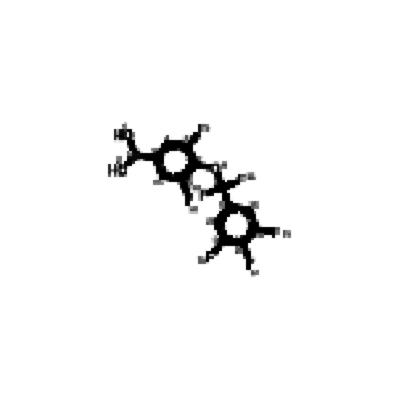 OB(O)c1cc(F)c(OC(F)(F)c2cc(F)c(F)c(F)c2)c(F)c1